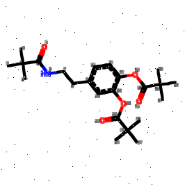 CC(C)(C)C(=O)NCCc1ccc(OC(=O)C(C)(C)C)c(OC(=O)C(C)(C)C)c1